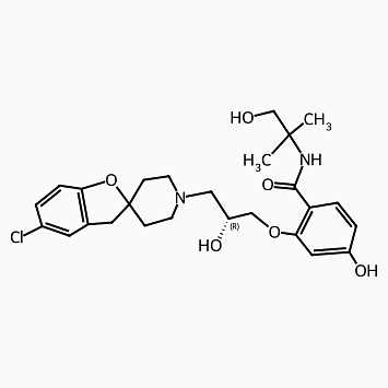 CC(C)(CO)NC(=O)c1ccc(O)cc1OC[C@H](O)CN1CCC2(CC1)Cc1cc(Cl)ccc1O2